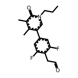 CCCn1cc(-c2cc(F)c(CC=O)c(F)c2)c(C)c(C)c1=O